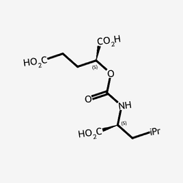 CC(C)C[C@H](NC(=O)O[C@@H](CCC(=O)O)C(=O)O)C(=O)O